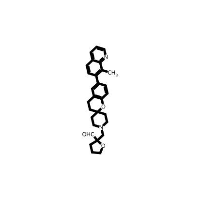 Cc1c(-c2ccc3c(c2)CCC2(CCN(CC4(C=O)CCCO4)CC2)O3)ccc2cccnc12